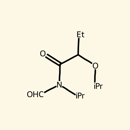 CCC(OC(C)C)C(=O)N(C=O)C(C)C